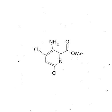 COC(=O)c1nc(Cl)cc(Cl)c1N